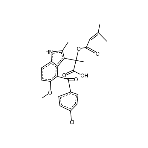 COc1ccc2[nH]c(C)c(C(C)(OC(=O)C=C(C)C)C(=O)O)c2c1C(=O)c1ccc(Cl)cc1